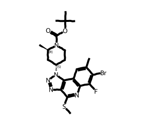 CSc1nc2c(F)c(Br)c(C)cc2c2c1nnn2[C@H]1CCN(C(=O)OC(C)(C)C)[C@H](C)C1